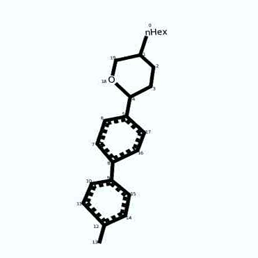 CCCCCCC1CCC(c2ccc(-c3ccc(C)cc3)cc2)OC1